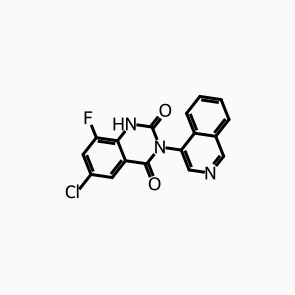 O=c1[nH]c2c(F)cc(Cl)cc2c(=O)n1-c1cncc2ccccc12